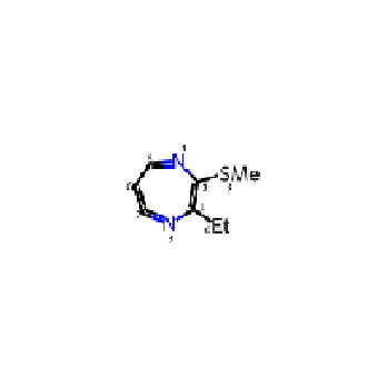 CCC1=C(SC)N=CC=C=N1